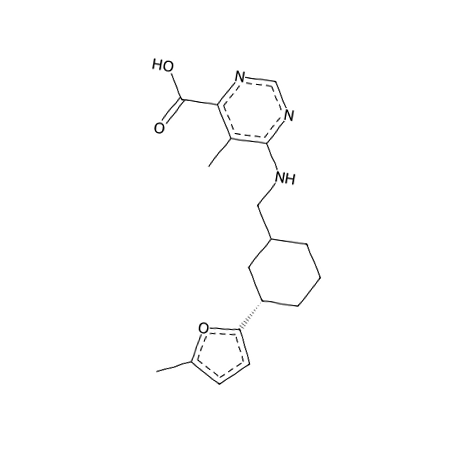 Cc1ccc([C@H]2CCCC(CNc3ncnc(C(=O)O)c3C)C2)o1